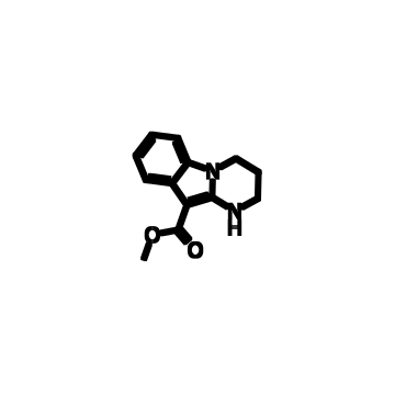 COC(=O)c1c2n(c3ccccc13)CCCN2